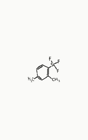 Cc1ccc([Si](F)(F)F)c(C)c1